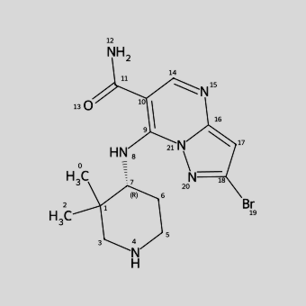 CC1(C)CNCC[C@H]1Nc1c(C(N)=O)cnc2cc(Br)nn12